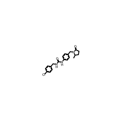 CC1CCC(=O)N1Cc1ccc(NC(=O)NCc2ccc(Cl)cc2)cc1